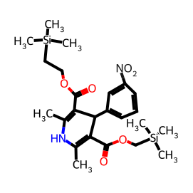 CC1=C(C(=O)OCC[Si](C)(C)C)C(c2cccc([N+](=O)[O-])c2)C(C(=O)OC[Si](C)(C)C)=C(C)N1